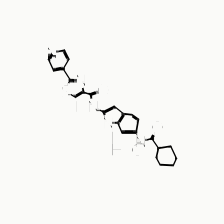 CN(C(=O)C1CCCCC1)c1ccc2cc(NC(=O)c3csc(-c4ccncc4)n3)[nH]c2c1